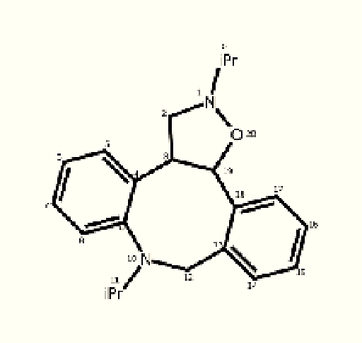 CC(C)N1CC2c3ccccc3N(C(C)C)Cc3ccccc3C2O1